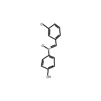 [O-][N+](=Cc1cccc(Cl)c1)c1ccc(O)cc1